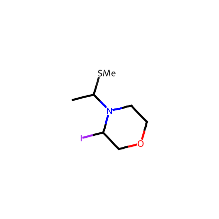 CSC(C)N1CCOCC1I